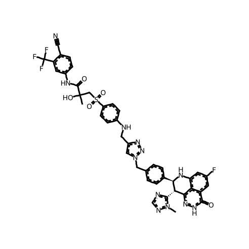 Cn1ncnc1[C@H]1c2n[nH]c(=O)c3cc(F)cc(c23)N[C@@H]1c1ccc(Cn2cc(CNc3ccc(S(=O)(=O)CC(C)(O)C(=O)Nc4ccc(C#N)c(C(F)(F)F)c4)cc3)nn2)cc1